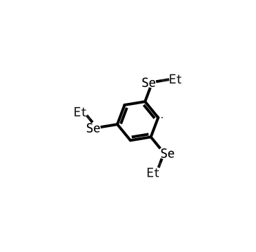 CC[Se]c1[c]c([Se]CC)cc([Se]CC)c1